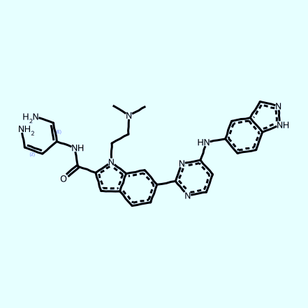 CN(C)CCn1c(C(=O)NC(/C=C\N)=C/N)cc2ccc(-c3nccc(Nc4ccc5[nH]ncc5c4)n3)cc21